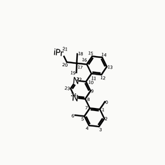 Cc1cccc(C)c1-c1cc(-c2ccccc2C(C)(C)CC(C)C)ncn1